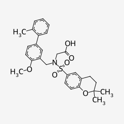 COc1ccc(-c2ccccc2C)cc1CN(CC(=O)O)S(=O)(=O)c1ccc2c(c1)CCC(C)(C)O2